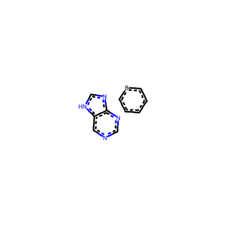 b1ccccc1.c1ncc2[nH]cnc2n1